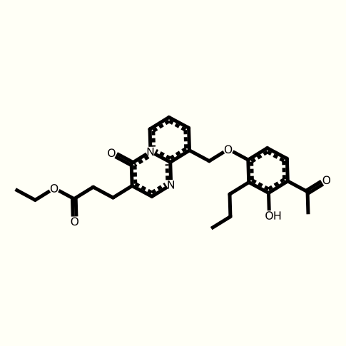 CCCc1c(OCc2cccn3c(=O)c(CCC(=O)OCC)cnc23)ccc(C(C)=O)c1O